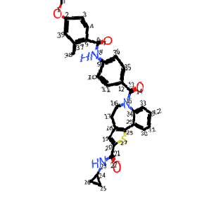 COc1ccc(C(=O)Nc2ccc(C(=O)N3CCc4cc(C(=O)NC5CC5)sc4-c4ccccc43)cc2)c(C)c1